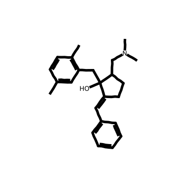 Cc1ccc(C)c(CC2(O)C(=Cc3ccccc3)CCC2CN(C)C)c1